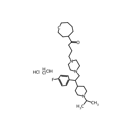 CC(C)N1CCC(C(CN2CCN(CCCC(=O)C3CCCCCCC3)CC2)c2ccc(F)cc2)CC1.Cl.Cl.Cl